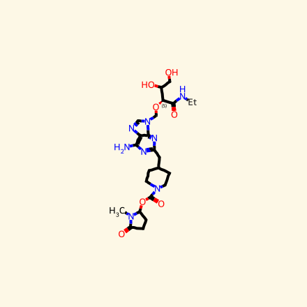 CCNC(=O)[C@@H](OCn1cnc2c(N)nc(CC3CCN(C(=O)OC4CCC(=O)N4C)CC3)nc21)C(O)CO